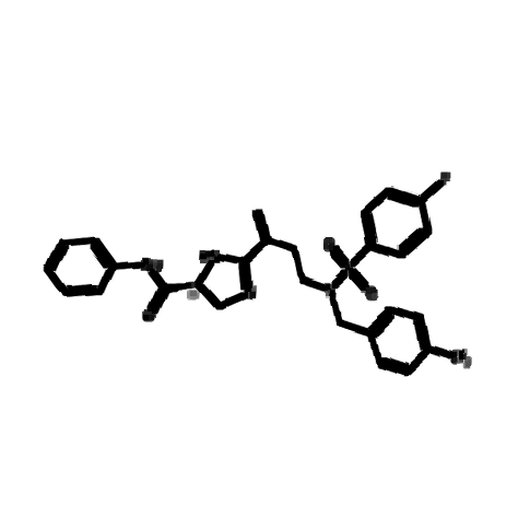 C=C(CCN(Cc1ccc(C(F)(F)F)cc1)S(=O)(=O)c1ccc(F)cc1)C1=NC[C@@H](C(=O)Nc2ccccc2)N1